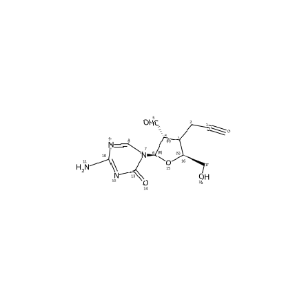 C#CCC1[C@@H](C=O)[C@H](n2cnc(N)nc2=O)O[C@@H]1CO